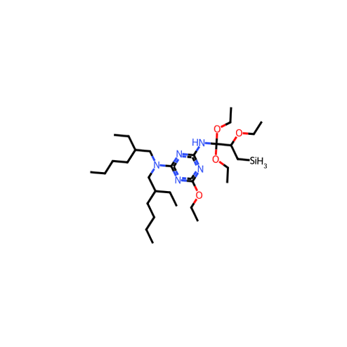 CCCCC(CC)CN(CC(CC)CCCC)c1nc(NC(OCC)(OCC)C(C[SiH3])OCC)nc(OCC)n1